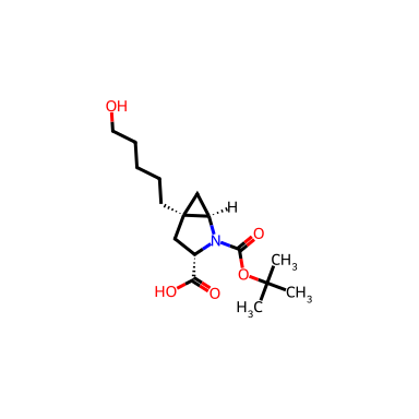 CC(C)(C)OC(=O)N1[C@H](C(=O)O)C[C@@]2(CCCCCO)C[C@@H]12